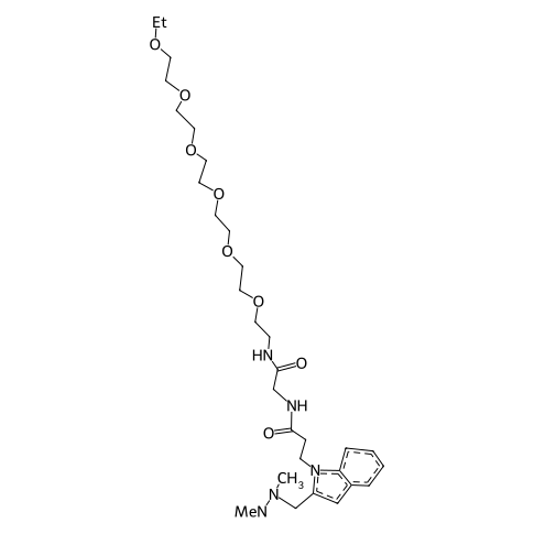 CCOCCOCCOCCOCCOCCOCCNC(=O)CNC(=O)CCn1c(CN(C)NC)cc2ccccc21